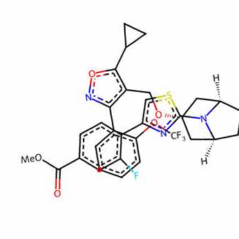 COC(=O)c1ccc(-c2csc(N3[C@@H]4CC[C@H]3C[C@H](OCc3c(-c5ccccc5OC(F)(F)F)noc3C3CC3)C4)n2)c(F)c1